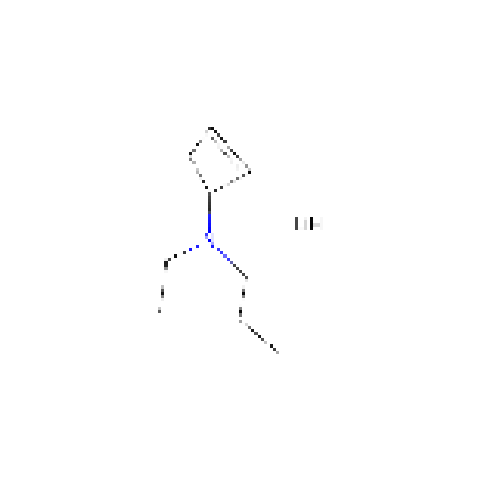 CCCN(CC)C1[CH]C=C1.[LiH]